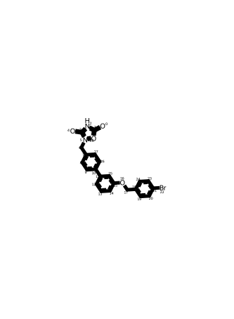 O=c1[nH]c(=O)n(Cc2ccc(-c3cccc(OCc4ccc(Br)cc4)c3)cc2)o1